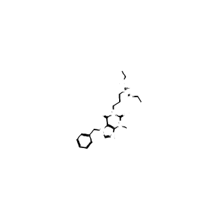 CCOP(=O)(CCCn1c(=O)c2c(ncn2Cc2ccccc2)n(C)c1=O)OCC